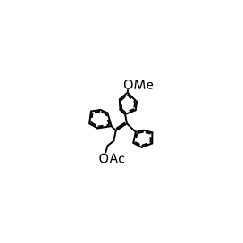 COc1ccc(C(=C(CCOC(C)=O)c2ccccc2)c2ccccc2)cc1